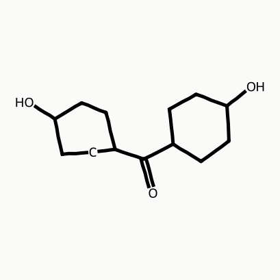 O=C(C1CCC(O)CC1)C1CCC(O)CC1